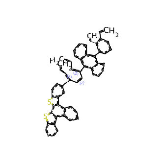 C=C/C=C(/C=C\C(=C\C=C)c1c2ccccc2c(-c2cccc(C=C)c2C=C)c2ccccc12)c1ccc2sc3c4sc5ccccc5c4c4ccccc4c3c2c1